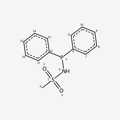 CS(=O)(=O)NP(c1ccccc1)c1ccccc1